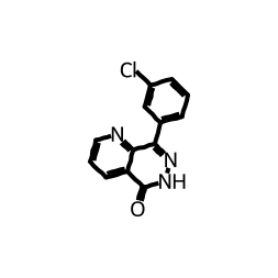 O=c1[nH]nc(-c2cccc(Cl)c2)c2ncccc12